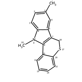 Cc1ccc2c(c1)c1c(n2C)-c2ccccc2SC1